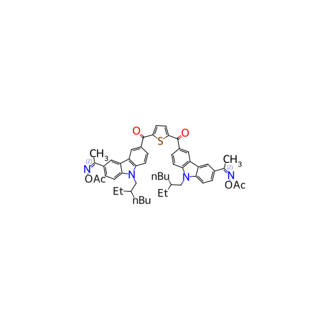 CCCCC(CC)Cn1c2ccc(C(=O)c3ccc(C(=O)c4ccc5c(c4)c4cc(/C(C)=N\OC(C)=O)ccc4n5CC(CC)CCCC)s3)cc2c2cc(/C(C)=N\OC(C)=O)ccc21